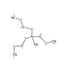 N#CCOCC(C#N)(COCC#N)OCC#N